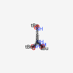 CC(C)(C)OC(=O)NCCCCCCCCCCCC(N)(CCCNC(=O)OC(C)(C)C)CCCNC(=O)OC(C)(C)C